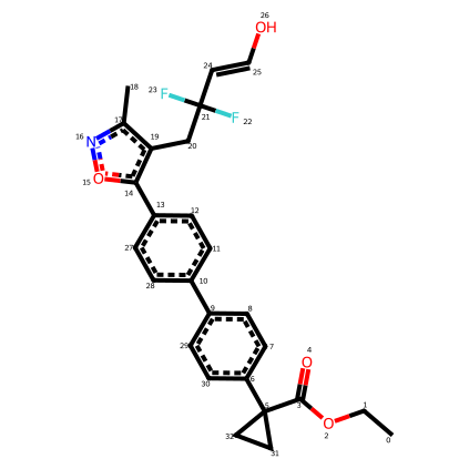 CCOC(=O)C1(c2ccc(-c3ccc(-c4onc(C)c4CC(F)(F)C=CO)cc3)cc2)CC1